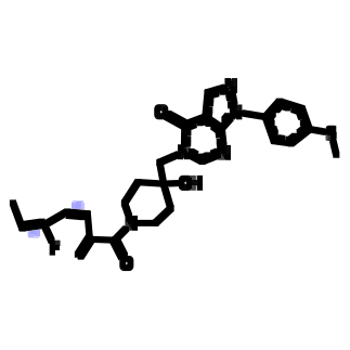 C=C(/C=C\C(F)=C/C)C(=O)N1CCC(O)(Cn2cnc3c(cnn3-c3ccc(SC)cc3)c2=O)CC1